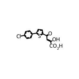 O=C(O)C(O)=CC(=O)c1ccc(-c2ccc(Cl)cc2)s1